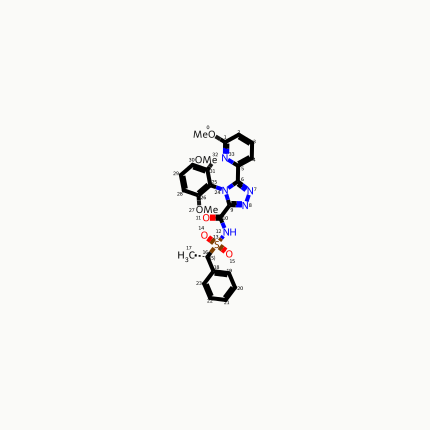 COc1cccc(-c2nnc(C(=O)NS(=O)(=O)[C@@H](C)c3ccccc3)n2-c2c(OC)cccc2OC)n1